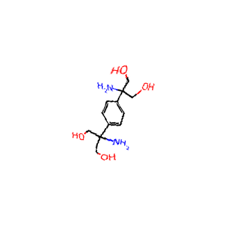 NC(CO)(CO)c1ccc(C(N)(CO)CO)cc1